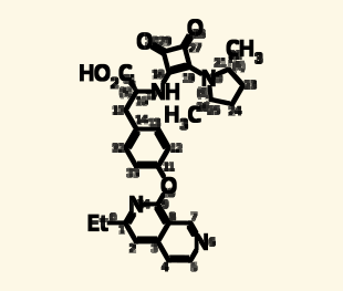 CCc1cc2ccncc2c(Oc2ccc(C[C@H](Nc3c(N4[C@H](C)CC[C@@H]4C)c(=O)c3=O)C(=O)O)cc2)n1